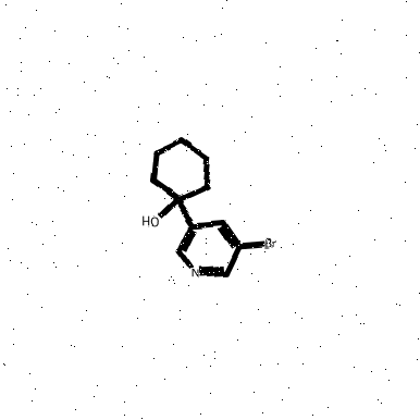 OC1(c2cncc(Br)c2)CCCCC1